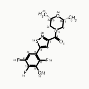 C[C@@H]1CN(C(=O)c2cc(-c3cc(F)c(F)c(O)c3F)sn2)C[C@H](C)O1